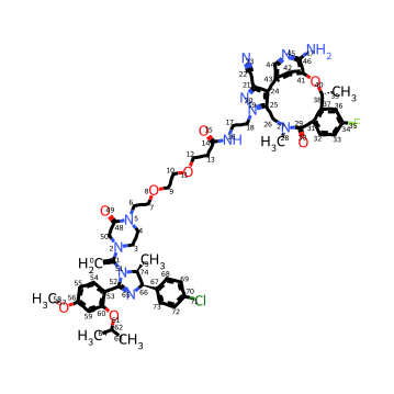 C=C(N1CCN(CCOCCOCCC(=O)NCCn2nc(C#N)c3c2CN(C)C(=O)c2ccc(F)cc2[C@@H](C)Oc2cc-3cnc2N)C(=O)C1)N1C(c2ccc(OC)cc2OC(C)C)=N[C@H](c2ccc(Cl)cc2)[C@@H]1C